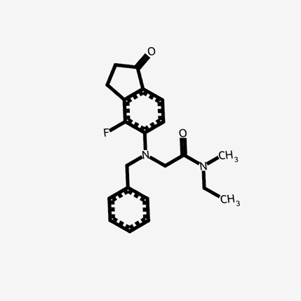 CCN(C)C(=O)CN(Cc1ccccc1)c1ccc2c(c1F)CCC2=O